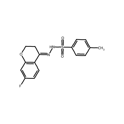 Cc1ccc(S(=O)(=O)NN=C2CCOc3cc(F)ccc32)cc1